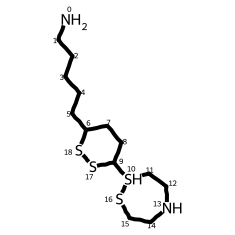 NCCCCCC1CCC([SH]2CCNCCS2)SS1